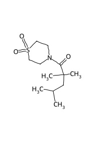 CC(C)CC(C)(C)C(=O)N1CCS(=O)(=O)CC1